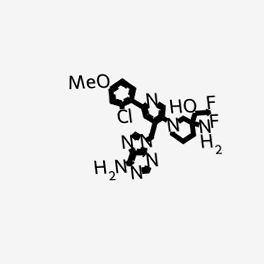 COc1ccc(-c2cc(Cn3cnc4c(N)ncnc43)c(N3CCCC(N)(C(O)C(F)F)C3)cn2)c(Cl)c1